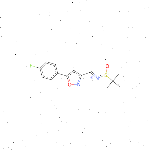 CC(C)(C)[S+]([O-])/N=C/c1cc(-c2ccc(F)cc2)on1